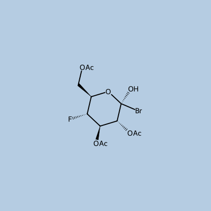 CC(=O)OC[C@H]1O[C@@](O)(Br)[C@H](OC(C)=O)[C@@H](OC(C)=O)[C@@H]1F